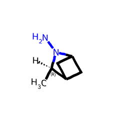 C[C@@H]1C2CC(C2)N1N